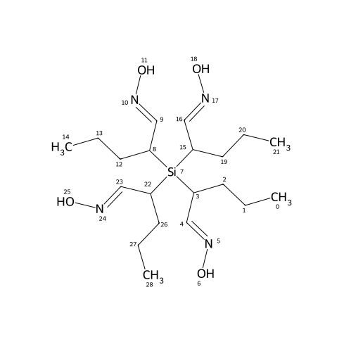 CCCC(C=NO)[Si](C(C=NO)CCC)(C(C=NO)CCC)C(C=NO)CCC